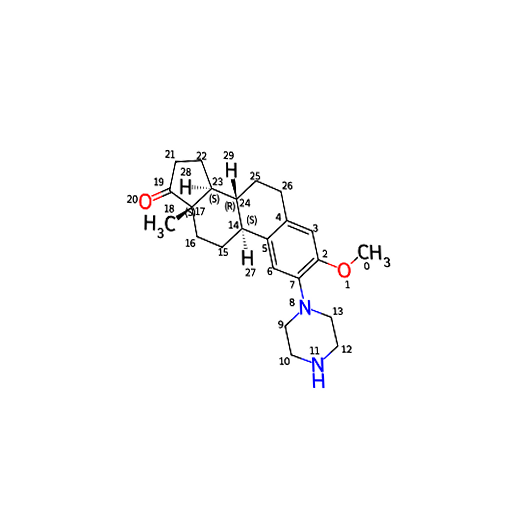 COc1cc2c(cc1N1CCNCC1)[C@H]1CC[C@]3(C)C(=O)CC[C@H]3[C@@H]1CC2